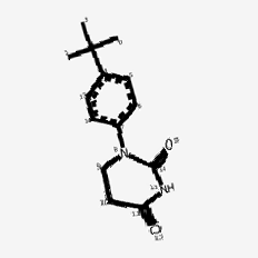 CC(C)(C)c1ccc(N2CCC(=O)NC2=O)cc1